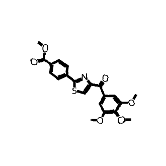 COC(=O)c1ccc(-c2nc(C(=O)c3cc(OC)c(OC)c(OC)c3)cs2)cc1